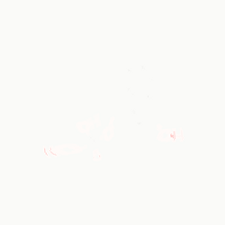 O=P(O)(O)OCc1cc(O)cc2ccccc12